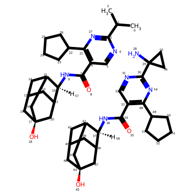 CC(C)c1ncc(C(=O)N[C@H]2C3CC4CC2C[C@@](O)(C4)C3)c(C2CCCC2)n1.NC1(c2ncc(C(=O)N[C@H]3C4CC5CC3C[C@@](O)(C5)C4)c(C3CCCC3)n2)CC1